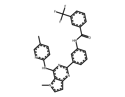 Cc1ccc(Nc2nc(-c3cccc(NC(=O)c4cccc(C(F)(F)F)c4)c3)nc3ccn(C)c23)nc1